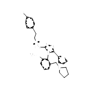 COc1cccc(CN2CCCC2)c1-n1c(NS(=O)(=O)CCc2ccc(Cl)cc2)nnc1-c1ccco1